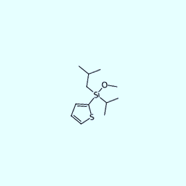 CO[Si](CC(C)C)(c1cccs1)C(C)C